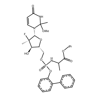 COC1(C)NC(=O)C=CN1[C@@H]1O[C@H](COP(=O)(NC(C)C(=O)OC(C)C)Oc2ccccc2-c2ccccc2)[C@@H](O)[C@@]1(C)F